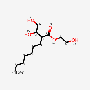 CCCCCCCCCCCCCCCCC(C(=O)OCCO)C(O)CO